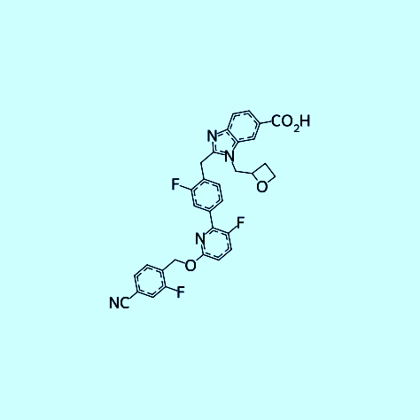 N#Cc1ccc(COc2ccc(F)c(-c3ccc(Cc4nc5ccc(C(=O)O)cc5n4CC4CCO4)c(F)c3)n2)c(F)c1